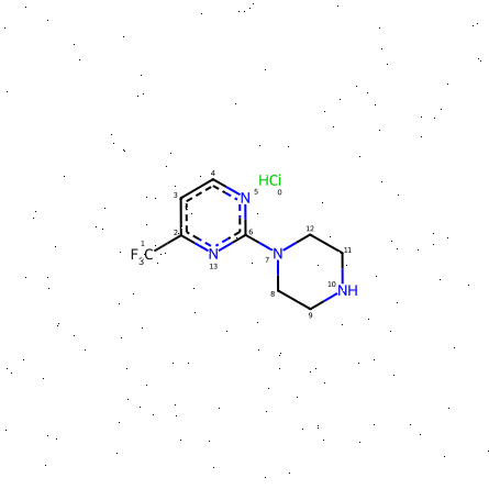 Cl.FC(F)(F)c1ccnc(N2CCNCC2)n1